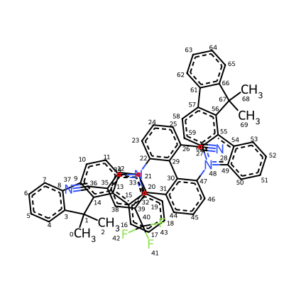 CC1(C)c2ccccc2-c2ccc3c(c21)c1ccccc1n3-c1cccc(C#N)c1-c1c(-c2ccc(C#N)cc2C(F)(F)F)cccc1-n1c2ccccc2c2c3c(ccc21)-c1ccccc1C3(C)C